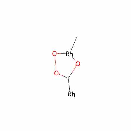 [CH3][Rh]1[O]O[CH]([Rh])[O]1